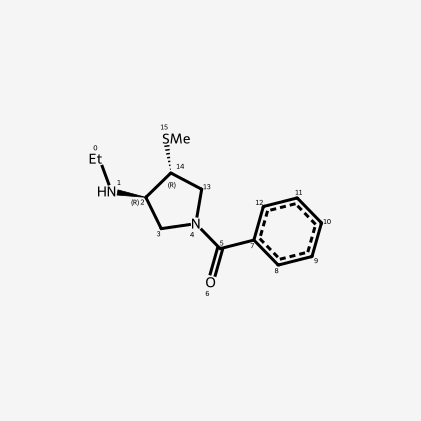 CCN[C@@H]1CN(C(=O)c2ccccc2)C[C@H]1SC